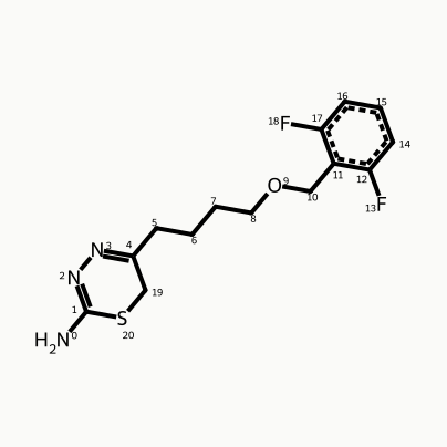 NC1=NN=C(CCCCOCc2c(F)cccc2F)CS1